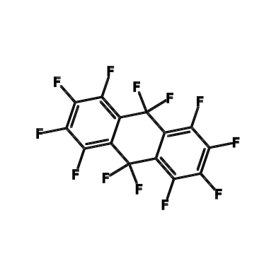 Fc1c(F)c(F)c2c(c1F)C(F)(F)c1c(F)c(F)c(F)c(F)c1C2(F)F